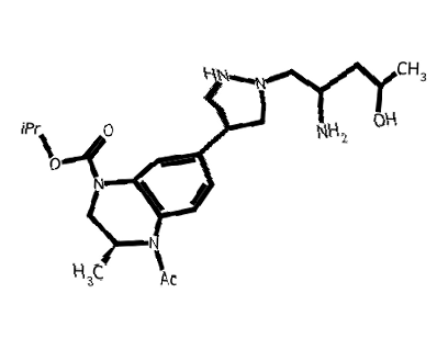 CC(=O)N1c2ccc(C3CNN(CC(N)CC(C)O)C3)cc2N(C(=O)OC(C)C)C[C@@H]1C